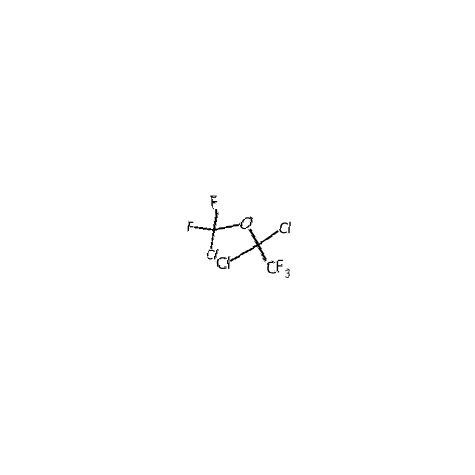 FC(F)(Cl)OC(Cl)(Cl)C(F)(F)F